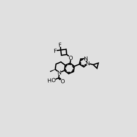 C[C@H]1CCc2c(ccc(-c3cnn(C4CC4)c3)c2OC2CC(F)(F)C2)N1C(=O)O